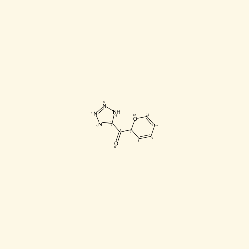 O=C(c1nnn[nH]1)C1C=CC=CO1